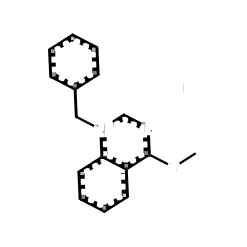 CSc1nc[n+](Cc2ccccc2)c2ccccc12.[Cl-]